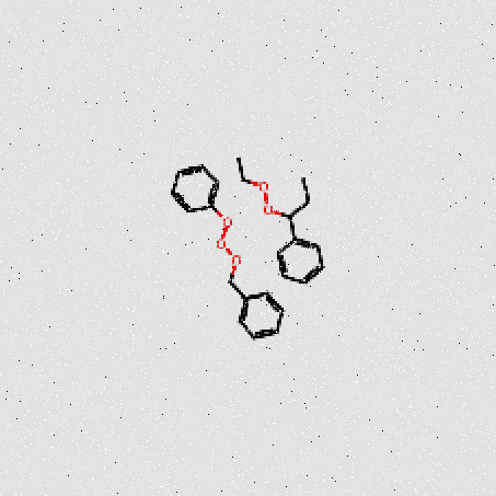 CCOOC(CC)c1ccccc1.c1ccc(COOOc2ccccc2)cc1